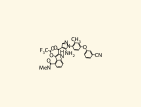 CNC(=O)c1cccc2[nH]c(C(=O)c3cnn(-c4ccc(Oc5cccc(C#N)c5)cc4C)c3N)c(OC(=O)C(F)(F)F)c12